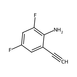 C#Cc1cc(F)cc(F)c1N